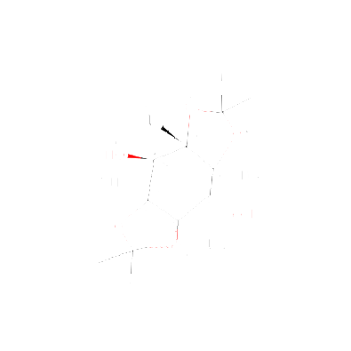 CC1(C)O[C@@H]2[C@@H](O)[C@@H]3OC(C)(C)O[C@H]3[C@H](O)[C@@H]2O1